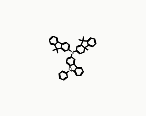 CC1(C)C2=CC(N(c3ccc4c(c3)C(C)(C)c3ccccc3-4)c3ccc4c(c3)c3ccccc3n4-c3ccccc3)=CCC2(C)c2ccccc21